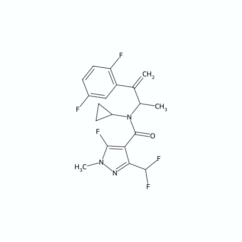 C=C(c1cc(F)ccc1F)C(C)N(C(=O)c1c(C(F)F)nn(C)c1F)C1CC1